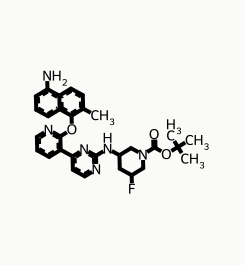 Cc1ccc2c(N)cccc2c1Oc1ncccc1-c1ccnc(NC2CC(F)CN(C(=O)OC(C)(C)C)C2)n1